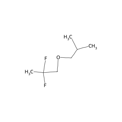 CC(C)COCC(C)(F)F